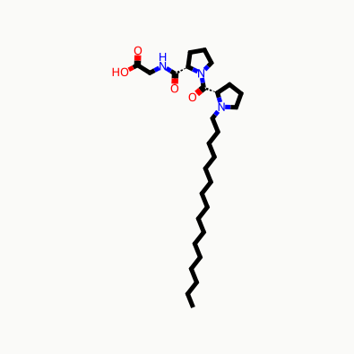 CCCCCCCCCCCCCCCCN1CCC[C@H]1C(=O)N1CCC[C@H]1C(=O)NCC(=O)O